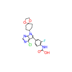 O=C(O)Nc1ccc(-c2cn(C3CCC4(CC3)OCCO4)c3ncnc(Cl)c23)cc1F